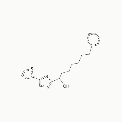 OC(CCCCCCc1ccccc1)c1ncc(-c2cccs2)s1